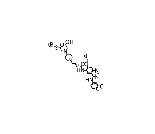 CC(C)(C)OC(=O)CN(CCO)C1CCN(C/C=C/C(=O)Nc2cc3c(Nc4ccc(F)c(Cl)c4)ncnc3cc2OCC2CC2)CC1